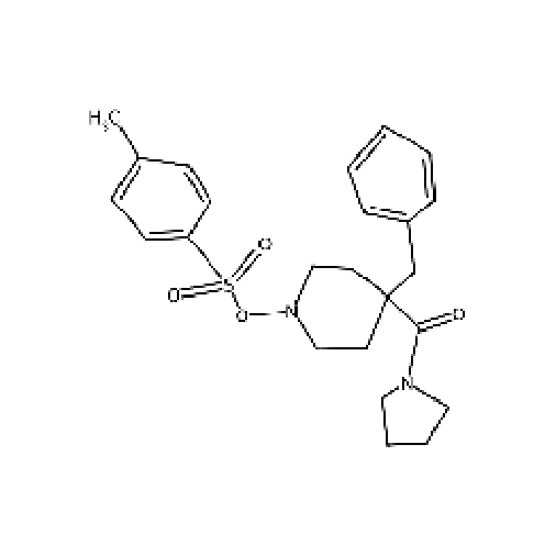 Cc1ccc(S(=O)(=O)ON2CCC(Cc3ccccc3)(C(=O)N3CCCC3)CC2)cc1